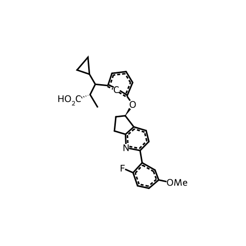 COc1ccc(F)c(-c2ccc3c(n2)CC[C@H]3Oc2cccc(C(C3CC3)[C@H](C)C(=O)O)c2)c1